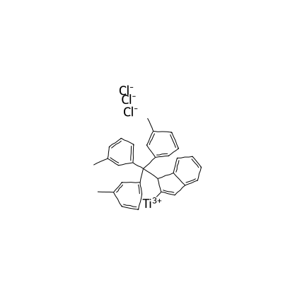 Cc1cccc(C(c2cccc(C)c2)(c2cccc(C)c2)C2[C]([Ti+3])=Cc3ccccc32)c1.[Cl-].[Cl-].[Cl-]